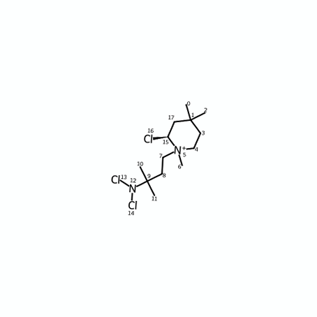 CC1(C)CC[N+](C)(CCC(C)(C)N(Cl)Cl)[C@@H](Cl)C1